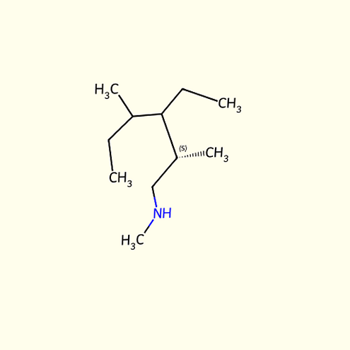 CCC(C)C(CC)[C@H](C)CNC